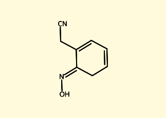 N#CCC1=CC=CCC1=NO